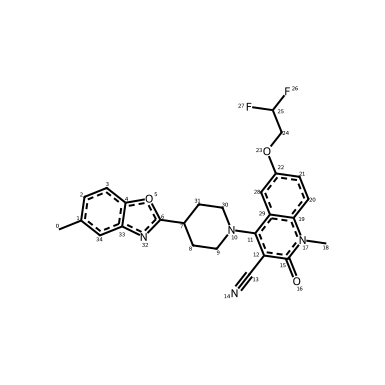 Cc1ccc2oc(C3CCN(c4c(C#N)c(=O)n(C)c5ccc(OCC(F)F)cc45)CC3)nc2c1